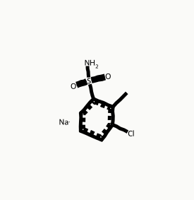 Cc1c(Cl)cccc1S(N)(=O)=O.[Na]